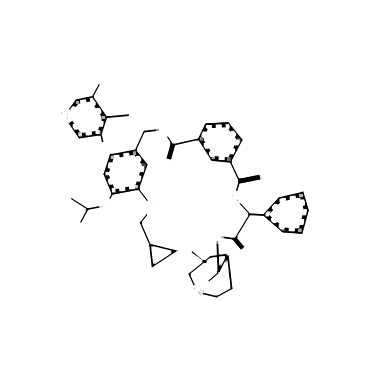 O=C(NC(C(=O)O[C@H]1CN2CCC1CC2)c1ccccc1)c1cccc(C(=O)O[C@@H](Cc2c(Cl)cncc2Cl)c2ccc(OC(F)F)c(OCC3CC3)c2)c1